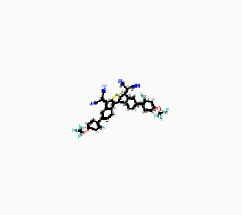 N#CC(C#N)=C1c2cc(-c3ccc(OC(F)(F)F)cc3F)ccc2-c2c1sc1c2-c2ccc(-c3ccc(OC(F)(F)F)cc3F)cc2C1=C(C#N)C#N